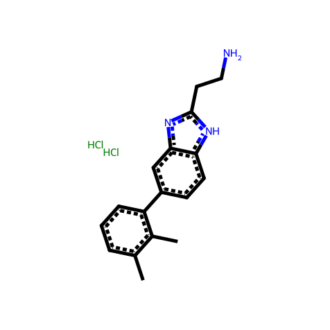 Cc1cccc(-c2ccc3[nH]c(CCN)nc3c2)c1C.Cl.Cl